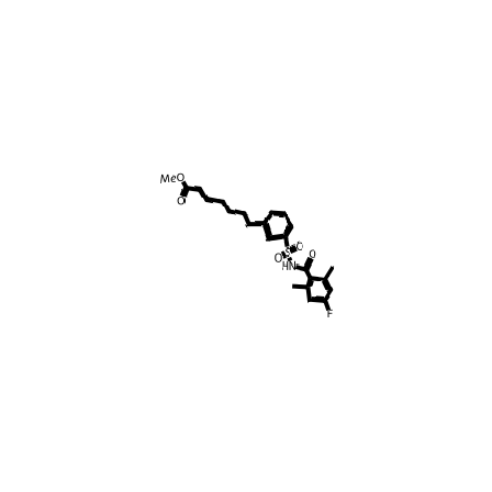 COC(=O)CCCCCCc1cccc(S(=O)(=O)NC(=O)c2c(C)cc(F)cc2C)c1